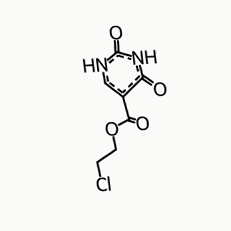 O=C(OCCCl)c1c[nH]c(=O)[nH]c1=O